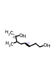 CC(C/C=C/CCO)[C@H](C)O